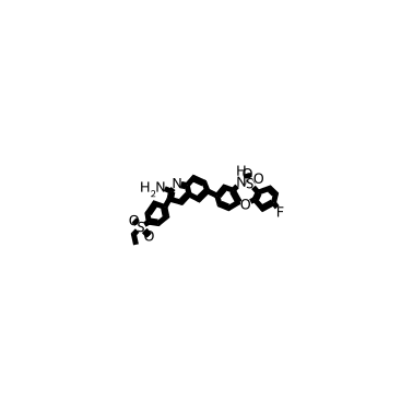 CCS(=O)(=O)c1ccc(-c2cc3cc(-c4ccc5c(c4)NS(=O)(=O)c4ccc(F)cc4O5)ccc3nc2N)cc1